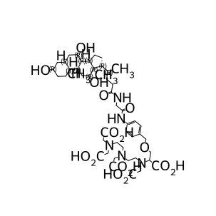 C[C@H](CCC(=O)NCC(=O)Nc1ccc(COCC(C(=O)O)N(CCN(CCN(CC(=O)O)CC(=O)O)CC(=O)O)CC(=O)O)cc1)[C@H]1CC[C@H]2[C@@H]3[C@H](O)C[C@@H]4C[C@H](O)CC[C@]4(C)[C@H]3C[C@H](O)[C@]12C